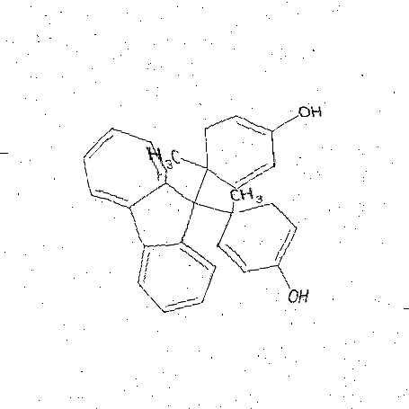 CC1(C2(C3(C)C=CC(O)=CC3)c3ccccc3-c3ccccc32)C=CC(O)=CC1